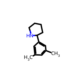 Cc1cc(C)cc(C2CCCCN2)c1